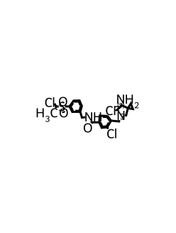 CC(Cl)S(=O)(=O)c1cccc(CNC(=O)c2cc(Cl)c(CN3C[C@@H](N)C4(CC4)C3)c(C(F)(F)F)c2)c1